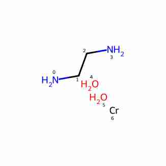 NCCN.O.O.[Cr]